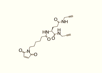 C#CCNC(=O)CC[C@H](NC(=O)CCCCCN1C(=O)C=CC1=O)C(=O)NCC#C